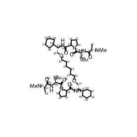 CN[C@@H](C)C(=O)N[C@H](C(=O)N1CCCC1C(=O)N[C@H](COCCCCCCOC[C@@H](NC(=O)C1CCCN1C(=O)[C@@H](NC(=O)[C@H](C)NC)C(C)(C)C)C1CCCCC1)C1CCCCC1)C(C)(C)C